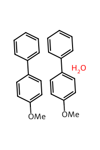 COc1ccc(-c2ccccc2)cc1.COc1ccc(-c2ccccc2)cc1.O